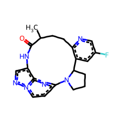 CC1CCc2ncc(F)cc2C2CCCN2c2ccn3ncc(c3n2)NC1=O